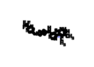 CC(=N)/C(C)=C1\C(=N)Sc2c(NC3CC4(C3)CN(Cc3cnc(C(F)(F)F)nc3)C4)ncnc21